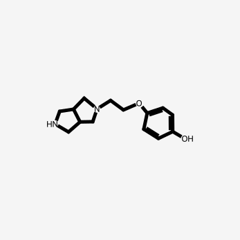 Oc1ccc(OCCN2CC3CNCC3C2)cc1